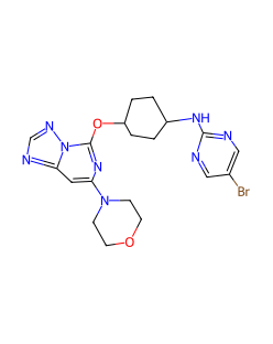 Brc1cnc(NC2CCC(Oc3nc(N4CCOCC4)cc4ncnn34)CC2)nc1